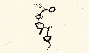 C[C@H](c1ccccc1)c1nc([C@H]2CCCN(C(=O)c3ccc(F)cc3)C2)no1